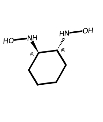 ON[C@@H]1CCCC[C@H]1NO